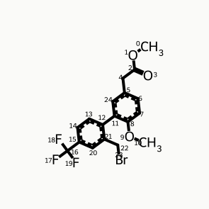 COC(=O)Cc1ccc(OC)c(-c2ccc(C(F)(F)F)cc2CBr)c1